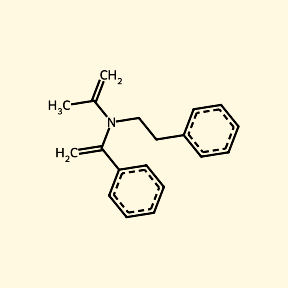 C=C(C)N(CCc1ccccc1)C(=C)c1ccccc1